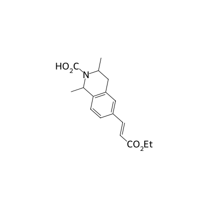 CCOC(=O)C=Cc1ccc2c(c1)CC(C)N(C(=O)O)C2C